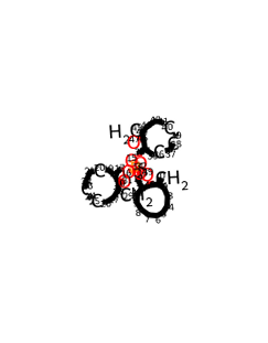 C=C1CCCCCCCCCC(COP(=O)(OCC2CCCCCCCCCC(=C)C2=O)OCC2CCCCCCCCCC(=C)C2=O)C1=O